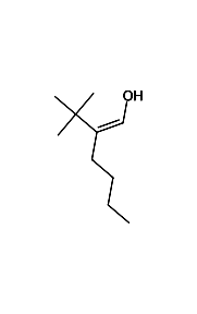 CCCCC(=CO)C(C)(C)C